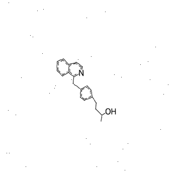 CC(O)CCc1ccc(Cc2nccc3ccccc23)cc1